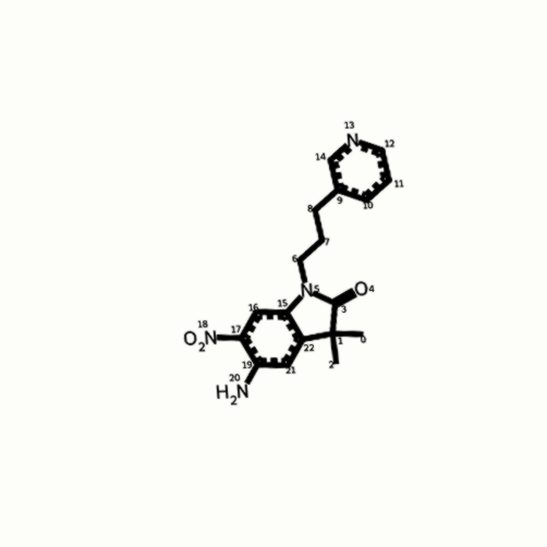 CC1(C)C(=O)N(CCCc2cccnc2)c2cc([N+](=O)[O-])c(N)cc21